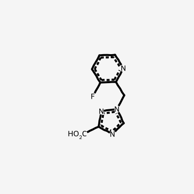 O=C(O)c1ncn(Cc2ncccc2F)n1